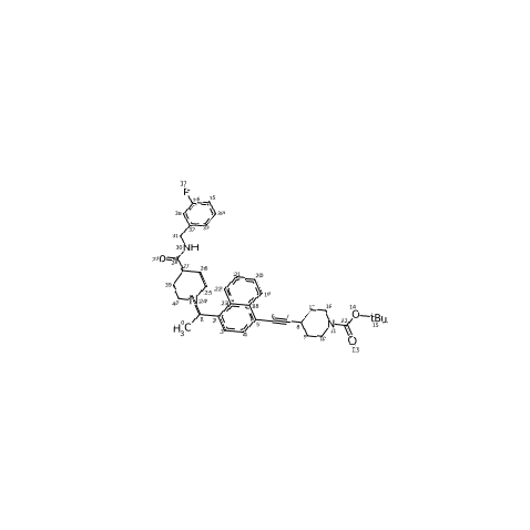 CC(c1ccc(C#CC2CCN(C(=O)OC(C)(C)C)CC2)c2ccccc12)N1CCC(C(=O)NCc2cccc(F)c2)CC1